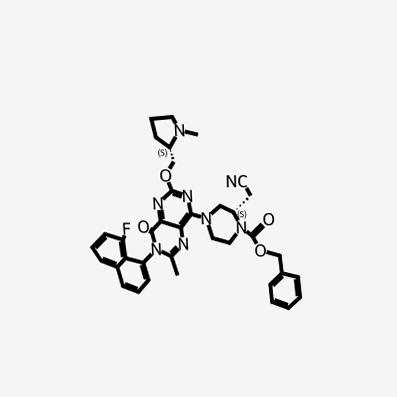 Cc1nc2c(N3CCN(C(=O)OCc4ccccc4)[C@@H](CC#N)C3)nc(OC[C@@H]3CCCN3C)nc2c(=O)n1-c1cccc2cccc(F)c12